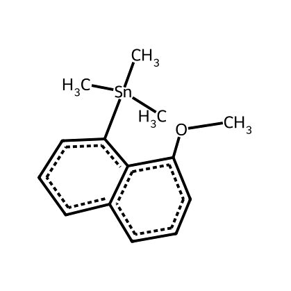 COc1cccc2ccc[c]([Sn]([CH3])([CH3])[CH3])c12